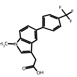 Cn1cc(CC(=O)O)c2cc(-c3ccc(C(F)(F)F)cc3)ccc21